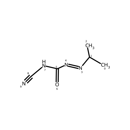 CC(C)N=NC(=O)NC#N